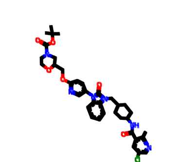 Cc1ncc(Cl)cc1C(=O)NC1CCC(Cn2c(=O)n(-c3ccc(OCC4CN(C(=O)OC(C)(C)C)CCO4)nc3)c3ccccc32)CC1